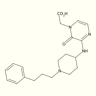 O=C(O)Cn1ccnc(NC2CCN(CCCc3ccccc3)CC2)c1=O